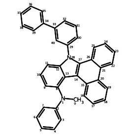 CN(c1ccccc1)c1cccc2c1c1c3ccccc3c3ccccc3c1n2-c1cccc(-c2ccccc2)c1